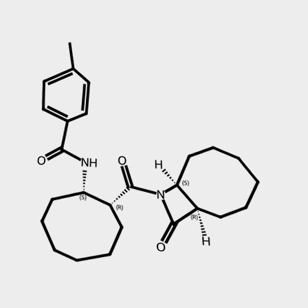 Cc1ccc(C(=O)N[C@H]2CCCCCC[C@H]2C(=O)N2C(=O)[C@@H]3CCCCCC[C@@H]32)cc1